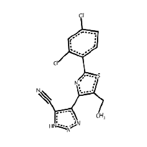 CCc1sc(-c2ccc(Cl)cc2Cl)nc1-c1nn[nH]c1C#N